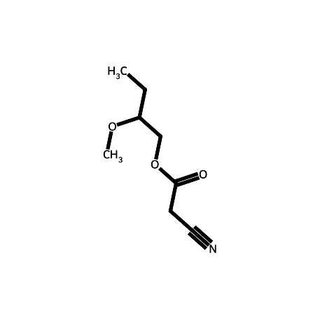 CCC(COC(=O)CC#N)OC